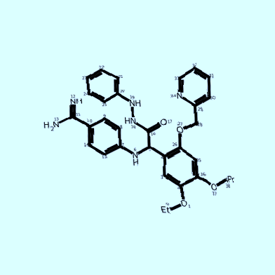 CCOc1cc(C(Nc2ccc(C(=N)N)cc2)C(=O)NNc2ccccc2)c(OCc2ccccn2)cc1OC(C)C